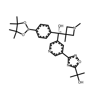 CN1CC(C)([C@](O)(c2ccc(B3OC(C)(C)C(C)(C)O3)cc2)c2cncc(-c3noc(C(C)(C)O)n3)c2)C1